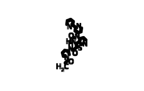 C=CC(=O)N1CCC[C@@H](NC(=O)c2sc3nccc4c3c2NC(=O)N4c2ccnc(-c3ccccn3)c2)C1